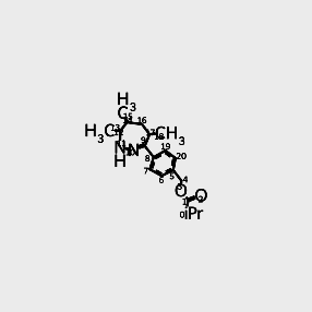 CC(C)C(=O)OCc1ccc(C2=NNC(C)C(C)CC2C)cc1